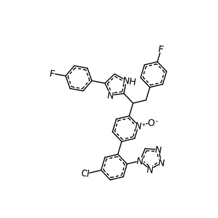 [O-][n+]1cc(-c2cc(Cl)ccc2-n2cnnn2)ccc1C(Cc1ccc(F)cc1)c1nc(-c2ccc(F)cc2)c[nH]1